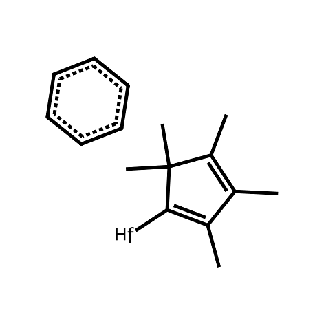 CC1=C(C)C(C)(C)[C]([Hf])=C1C.c1ccccc1